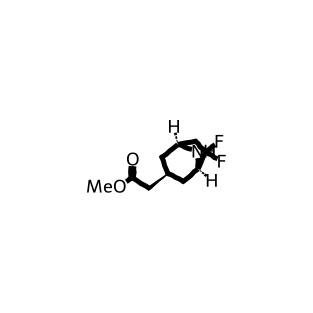 COC(=O)C[C@H]1C[C@H]2CC(F)(F)[C@@H](C1)N2